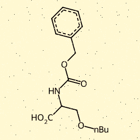 CCCCOCC(NC(=O)OCc1ccccc1)C(=O)O